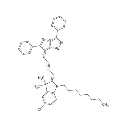 CCCCCCCCN1/C(=C/C=C/C=c2/c(-c3ccccc3)nn3c(-c4ccccn4)nnc23)C(C)(C)c2cc(Cl)ccc21